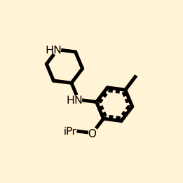 Cc1ccc(OC(C)C)c(NC2CCNCC2)c1